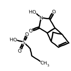 CCCS(=O)(=O)O.O=C1C2C3C=CC(C3)C2C(=O)N1O